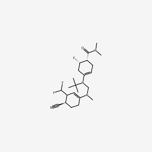 CN(C)C(=O)[C@@H]1CC=C(N(CN(C)C2=CC(C(F)F)[C@H](C#N)CC2)C(C)(C)C)C[C@@H]1F